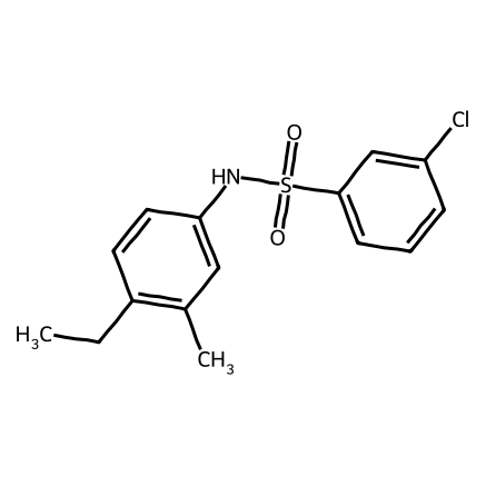 CCc1ccc(NS(=O)(=O)c2cccc(Cl)c2)cc1C